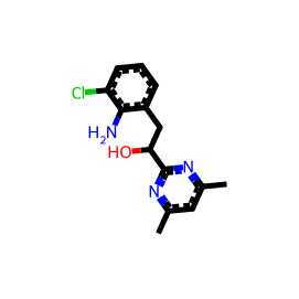 Cc1cc(C)nc(C(O)Cc2cccc(Cl)c2N)n1